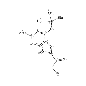 COc1cc(O[Si](C)(C)C(C)(C)C)c2cc(C(=O)CBr)oc2c1